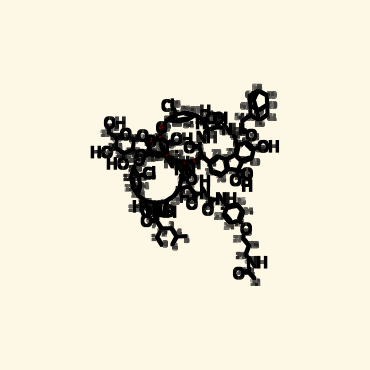 CC[C@H](CC(C)C)C(=O)N[C@H]1C(=O)C[C@@H](CC(=O)NC(=O)Nc2ccc(OCCCNC(C)=O)cc2)C(=O)N[C@H]2C(=O)C[C@H]3C(=O)N[C@H](C(=O)N[C@H](C(=O)CC4C5CC6CC(C5)CC4C6)c4cc(O)cc5c4-c4cc3ccc4C5(O)O)[C@H](O)c3ccc(c(Cl)c3)Oc3cc2cc(c3O[C@@H]2O[C@H](CO)[C@@H](O)[C@H](O)[C@H]2O[C@H]2C[C@](C)(N)[C@H](O)[C@H](C)O2)Oc2ccc(cc2Cl)[C@H]1O